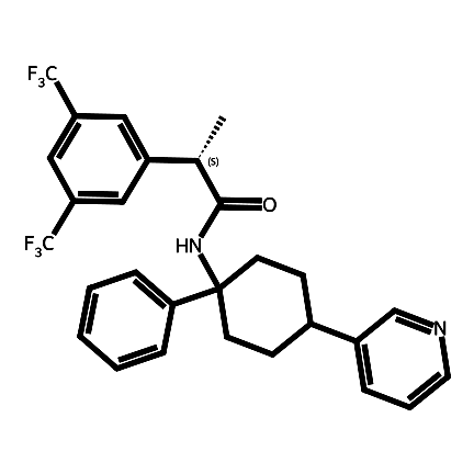 C[C@H](C(=O)NC1(c2ccccc2)CCC(c2cccnc2)CC1)c1cc(C(F)(F)F)cc(C(F)(F)F)c1